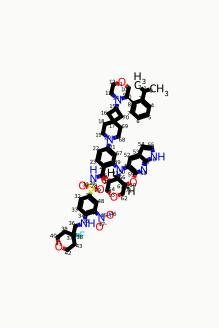 CC(C)c1ccccc1[C@@H]1COCCN1C1CC2(CCN(c3ccc(C(=O)NS(=O)(=O)c4ccc(NCC5(F)CCOCC5)c([N+](=O)[O-])c4)c(N4c5cc6cc[nH]c6nc5O[C@H]5COCC[C@@H]54)c3)CC2)C1